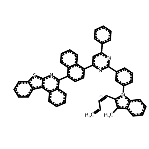 C=C/C=C\c1c(C)c2ccccc2n1-c1cccc(-c2nc(-c3ccccc3)cc(-c3ccc(-c4nc5sc6ccccc6c5c5ccccc45)c4ccccc34)n2)c1